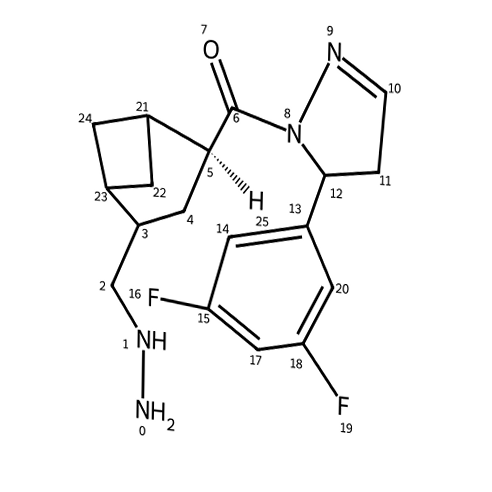 NNCC1C[C@H](C(=O)N2N=CCC2c2cc(F)cc(F)c2)C2CC1C2